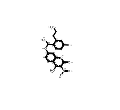 CCCc1cc(F)ccc1C(C)Oc1ccc2c(O)c([N+](=O)[O-])c(=O)oc2c1